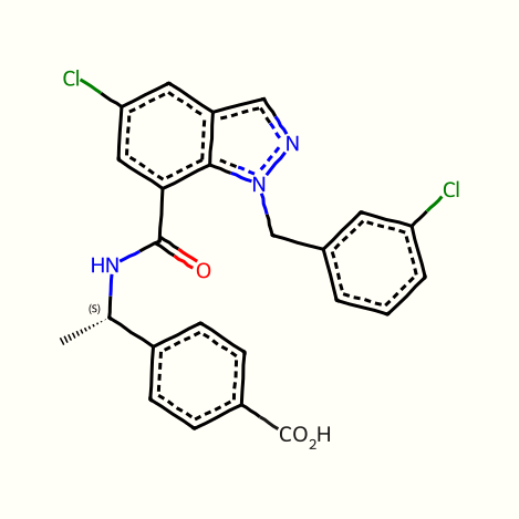 C[C@H](NC(=O)c1cc(Cl)cc2cnn(Cc3cccc(Cl)c3)c12)c1ccc(C(=O)O)cc1